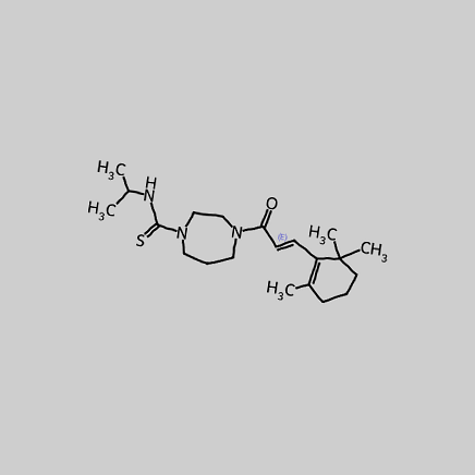 CC1=C(/C=C/C(=O)N2CCCN(C(=S)NC(C)C)CC2)C(C)(C)CCC1